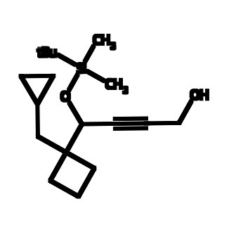 CC(C)(C)[Si](C)(C)OC(C#CCO)C1(CC2CC2)CCC1